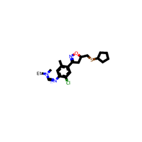 CCN(C)/C=N\c1cc(C)c(C2=NOC(CSC3CCCC3)C2)cc1Cl